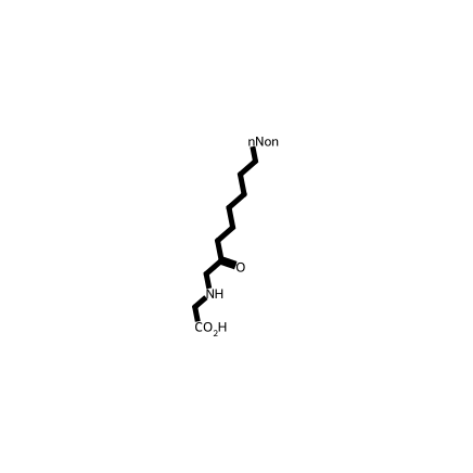 CCCCCCCCCCCCCCCC(=O)CNCC(=O)O